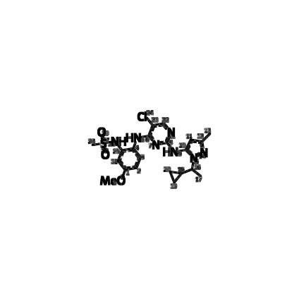 COc1ccc(Nc2nc(Nc3cc(C)nn3C(C)C3CC3)ncc2Cl)c(NS(C)(=O)=O)c1